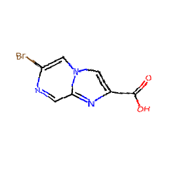 O=C(O)c1cn2cc(Br)ncc2n1